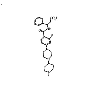 O=C(O)CC(NC(=O)c1ccc(N2CCN(C3CCNCC3)CC2)cc1F)c1ccccc1